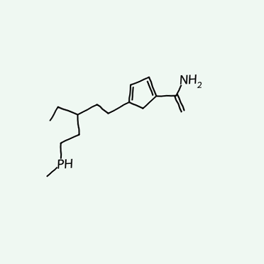 C=C(N)C1=CC=C(CCC(CC)CCPC)C1